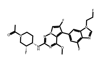 COc1nc(N[C@H]2CCN(C(C)=O)C[C@H]2F)nn2cc(F)c(-c3cc(F)c4ncn(CCF)c4c3)c12